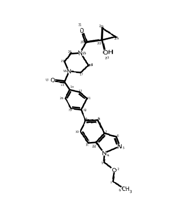 CCOCn1ncc2cc(-c3ccc(C(=O)N4CCN(C(=O)C5(O)CC5)CC4)cc3)ccc21